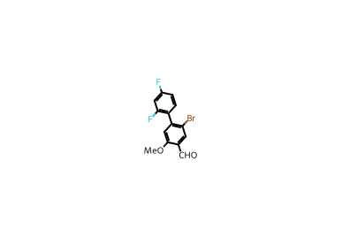 COc1cc(-c2ccc(F)cc2F)c(Br)cc1C=O